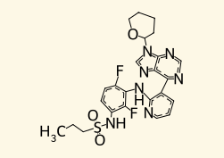 CCCS(=O)(=O)Nc1ccc(F)c(Nc2ncccc2-c2ncnc3c2ncn3C2CCCCO2)c1F